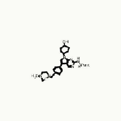 CCC[C@@H](C)Nc1ncc2c(-c3ccc(CN4CCN(C)CC4)cc3)cn(C3CCC(O)CC3)c2n1